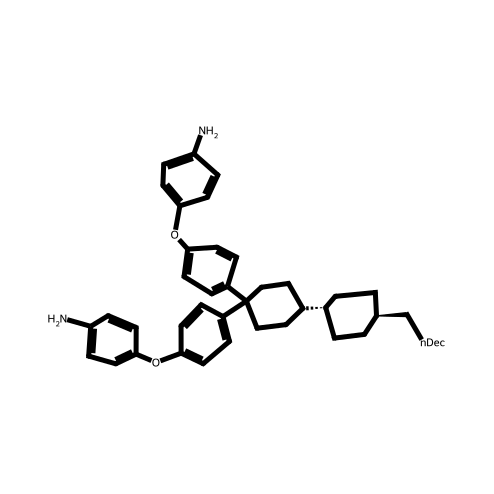 CCCCCCCCCCC[C@H]1CC[C@H](C2CCC(c3ccc(Oc4ccc(N)cc4)cc3)(c3ccc(Oc4ccc(N)cc4)cc3)CC2)CC1